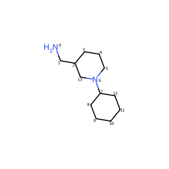 NCC1CCCN(C2CCCCC2)C1